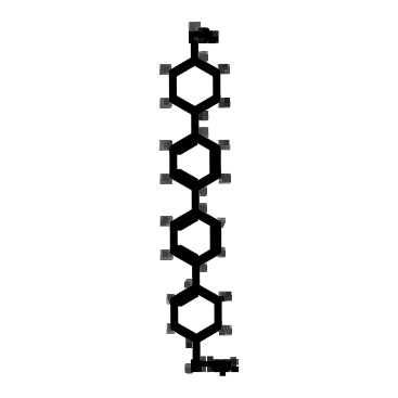 CCCCCCCC1CC=C(c2ccc(-c3ccc(C4CCC(CCCC)CC4)cc3)cc2)CC1